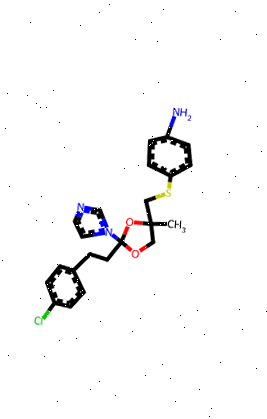 CC1(CSc2ccc(N)cc2)COC(CCc2ccc(Cl)cc2)(n2ccnc2)O1